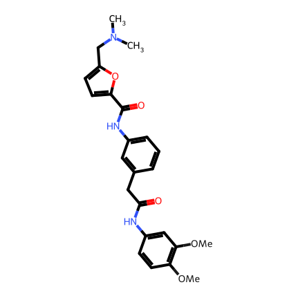 COc1ccc(NC(=O)Cc2cccc(NC(=O)c3ccc(CN(C)C)o3)c2)cc1OC